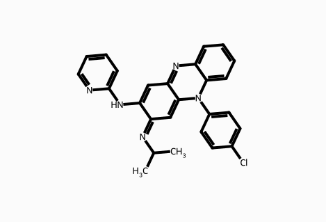 CC(C)/N=c1\cc2n(-c3ccc(Cl)cc3)c3ccccc3nc-2cc1Nc1ccccn1